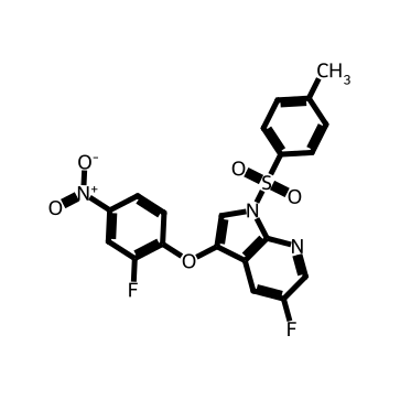 Cc1ccc(S(=O)(=O)n2cc(Oc3ccc([N+](=O)[O-])cc3F)c3cc(F)cnc32)cc1